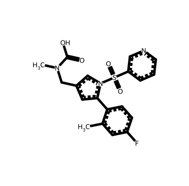 Cc1cc(F)ccc1-c1cc(CN(C)C(=O)O)cn1S(=O)(=O)c1cccnc1